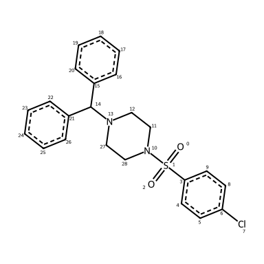 O=S(=O)(c1ccc(Cl)cc1)N1CCN(C(c2ccccc2)c2ccccc2)CC1